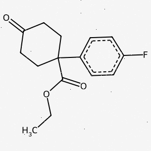 CCOC(=O)C1(c2ccc(F)cc2)CCC(=O)CC1